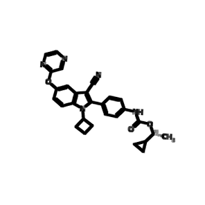 C[C@@H](OC(=O)Nc1ccc(-c2c(C#N)c3cc(Oc4cnccn4)ccc3n2C2CCC2)cc1)C1CC1